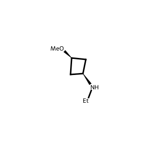 CCN[C@H]1C[C@@H](OC)C1